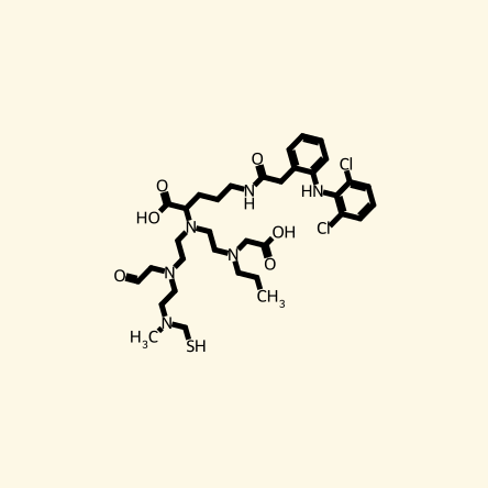 CCCN(CCN(CCN(CC=O)CCN(C)CS)C(CCCNC(=O)Cc1ccccc1Nc1c(Cl)cccc1Cl)C(=O)O)CC(=O)O